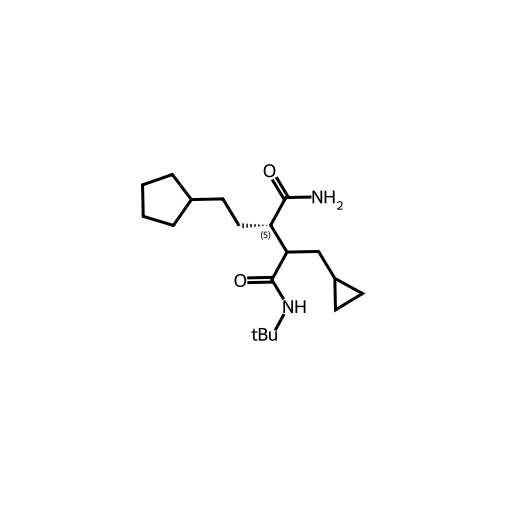 CC(C)(C)NC(=O)C(CC1CC1)[C@H](CCC1CCCC1)C(N)=O